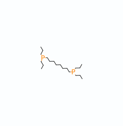 CCCP(CCC)CCCCCCCCP(CCC)CCC